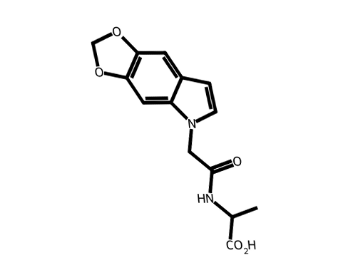 CC(NC(=O)Cn1ccc2cc3c(cc21)OCO3)C(=O)O